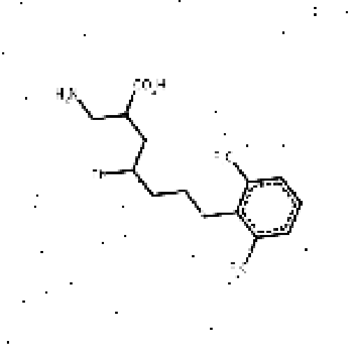 CCC(CCCc1c(C(F)(F)F)cccc1C(F)(F)F)CC(CN)C(=O)O